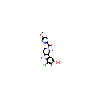 COc1cnc(C(=O)N2CCc3[nH]c4c(Cl)c(Cl)c(O)cc4c3[C@@H]2C)nc1